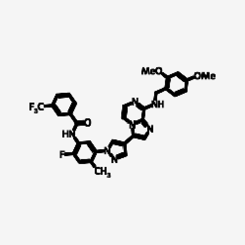 COc1ccc(CNc2nccn3c(-c4cnn(-c5cc(NC(=O)c6cccc(C(F)(F)F)c6)c(F)cc5C)c4)cnc23)c(OC)c1